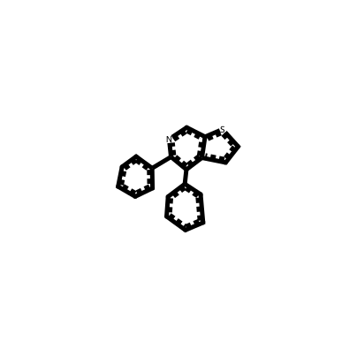 c1ccc(-c2ncc3sccc3c2-c2ccccc2)cc1